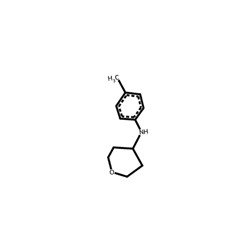 Cc1ccc(NC2CCOCC2)cc1